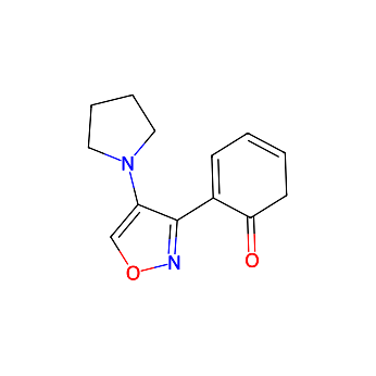 O=C1CC=CC=C1c1nocc1N1CCCC1